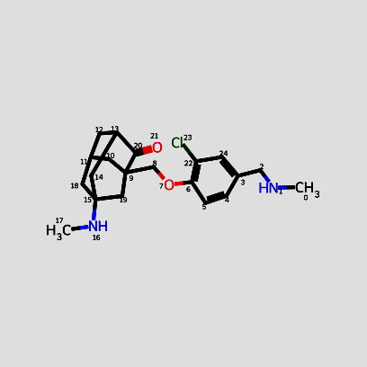 CNCc1ccc(OCC23CC4CC(CC(NC)(C4)C2)C3=O)c(Cl)c1